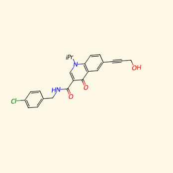 CC(C)n1cc(C(=O)NCc2ccc(Cl)cc2)c(=O)c2cc(C#CCO)ccc21